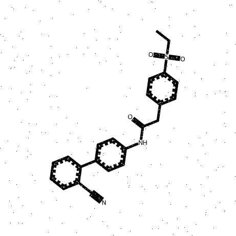 CCS(=O)(=O)c1ccc(CC(=O)Nc2ccc(-c3ccccc3C#N)cc2)cc1